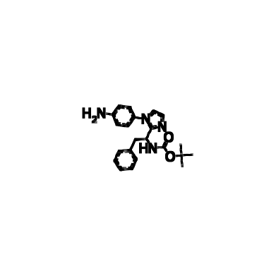 CC(C)(C)OC(=O)N[C@@H](Cc1ccccc1)c1nccn1-c1ccc(N)cc1